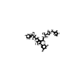 Cc1cc(C)cc(-c2[nH]c3sc(C(C)(C)C(=O)C4C5CCC4NC5)cc3c2[C@H](C)CNC(=O)C2CN(Cc3cccs3)C2)c1